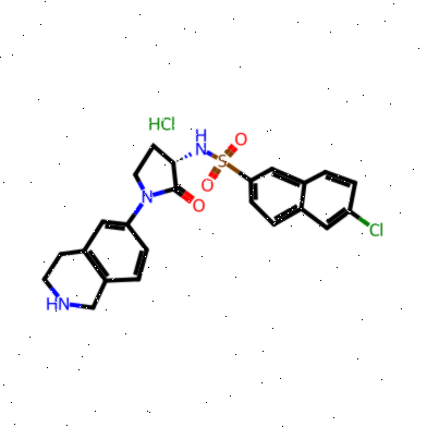 Cl.O=C1[C@@H](NS(=O)(=O)c2ccc3cc(Cl)ccc3c2)CCN1c1ccc2c(c1)CCNC2